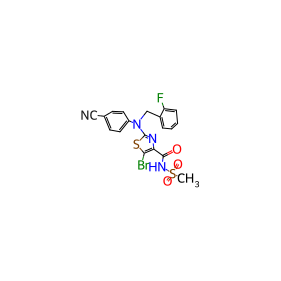 CS(=O)(=O)NC(=O)c1nc(N(Cc2ccccc2F)c2ccc(C#N)cc2)sc1Br